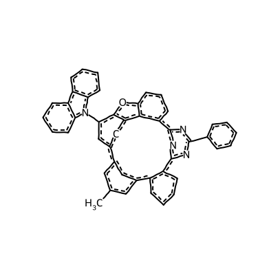 Cc1cc2cc(c1)c1ccccc1c1nc(-c3ccccc3)nc(n1)c1cccc3oc4c(-n5c6ccccc6c6ccccc65)cc2cc4c31